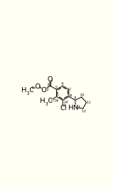 COOC(=O)c1ccc(C2CCCN2)c(Cl)c1C